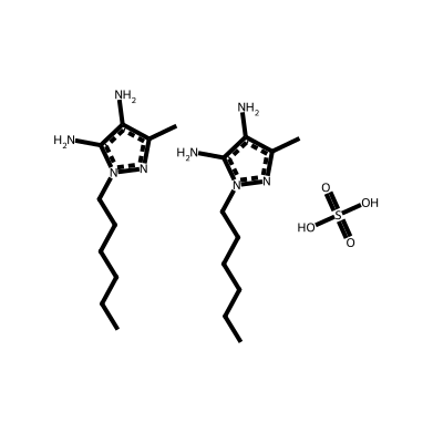 CCCCCCn1nc(C)c(N)c1N.CCCCCCn1nc(C)c(N)c1N.O=S(=O)(O)O